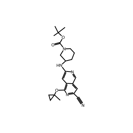 CC(C)(C)OC(=O)N1CCCC(Nc2cc3c(OC4(C)CC4)nc(C#N)cc3cn2)C1